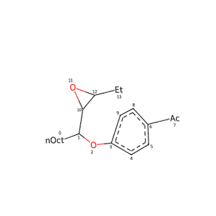 CCCCCCCCC(Oc1ccc(C(C)=O)cc1)C1OC1CC